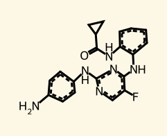 Nc1ccc(Nc2ncc(F)c(Nc3ccccc3NC(=O)C3CC3)n2)cc1